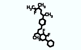 C=C(F)C(C)CCC(C)C1C=CC(CCC(CC)C2CCC(C3CCCCC3)C(F)C2F)CC1